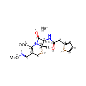 CON=CC1=C(C(=O)[O-])N2C(=O)[C@@H](NC(=O)Cc3cccs3)[C@@H]2SC1.[Na+]